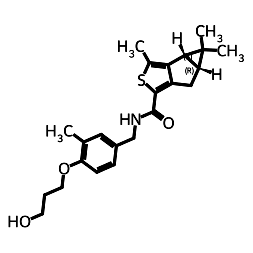 Cc1cc(CNC(=O)c2sc(C)c3c2C[C@@H]2[C@H]3C2(C)C)ccc1OCCCO